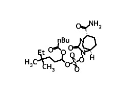 CCCCC(=O)OC(CCC(C)(C)CC)OS(=O)(=O)ON1C(=O)N2C[C@H]1CC[C@H]2C(N)=O